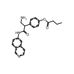 CCCC(=O)Oc1ccc(C(CN)C(=O)Nc2ccc3cnccc3c2)cc1